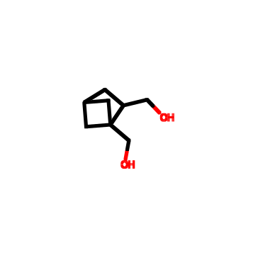 OCC1CC2CC1(CO)C2